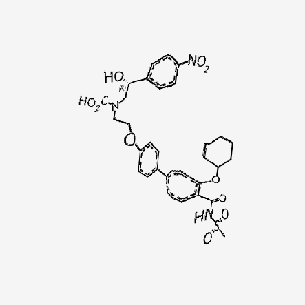 CS(=O)(=O)NC(=O)c1ccc(-c2ccc(OCCN(C[C@H](O)c3ccc([N+](=O)[O-])cc3)C(=O)O)cc2)cc1OC1CCCCC1